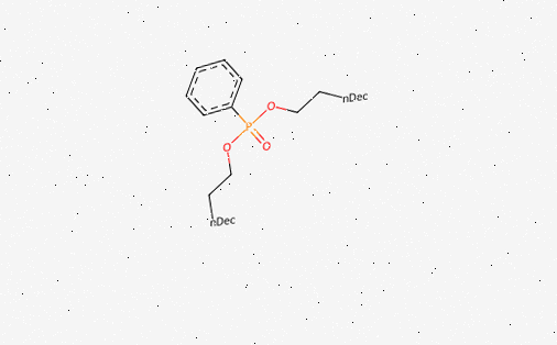 CCCCCCCCCCCCOP(=O)(OCCCCCCCCCCCC)c1ccccc1